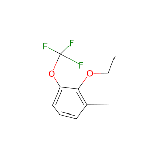 CCOc1c(C)cccc1OC(F)(F)F